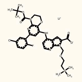 CC(C)(C)OC(=O)N1CCOc2c(Nc3ccnc4c3cc(C(=O)[O-])n4COCC[Si](C)(C)C)cc(-c3cc(Cl)ccc3F)nc21.[Li+]